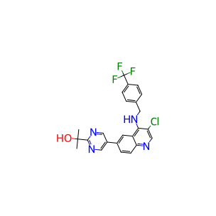 CC(C)(O)c1ncc(-c2ccc3ncc(Cl)c(NCc4ccc(C(F)(F)F)cc4)c3c2)cn1